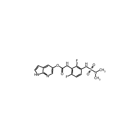 CN(C)S(=O)(=O)Nc1ccc(F)c(NC(=O)Oc2cnc3[nH]ccc3c2)c1F